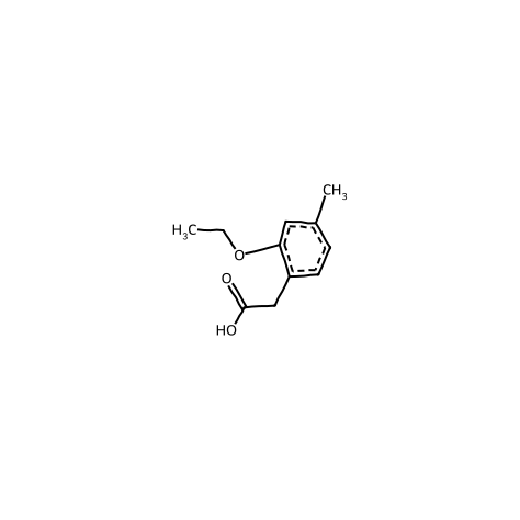 CCOc1cc(C)ccc1CC(=O)O